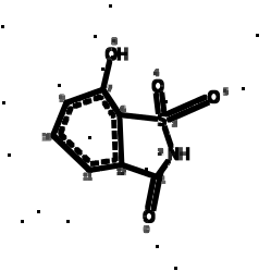 O=C1NS(=O)(=O)c2c(O)cccc21